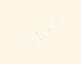 Cc1ccc(NC(=O)Cn2c(=O)n(C)c3c(-c4cc(C)c(OCc5cocn5)c(F)c4)cc(C)cc32)cc1